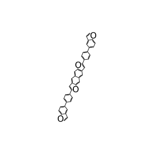 c1cc2cc(-c3ccc(-c4cc5cc6cc7oc(-c8ccc(-c9ccc%10occc%10c9)cc8)cc7cc6cc5o4)cc3)ccc2o1